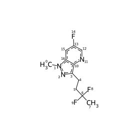 Cn1nc(CCC(C)(F)F)c2ncc(F)cc21